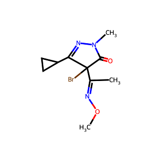 CO/N=C(\C)C1(Br)C(=O)N(C)N=C1C1CC1